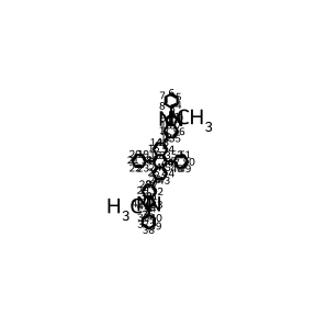 Cn1c(-c2ccccc2)nc2cc(-c3ccc4c(-c5ccccc5)c5cc(-c6ccc7c(c6)nc(-c6ccccc6)n7C)ccc5c(-c5ccccc5)c4c3)ccc21